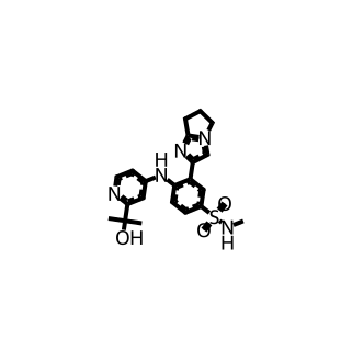 CNS(=O)(=O)c1ccc(Nc2ccnc(C(C)(C)O)c2)c(-c2cn3c(n2)CCC3)c1